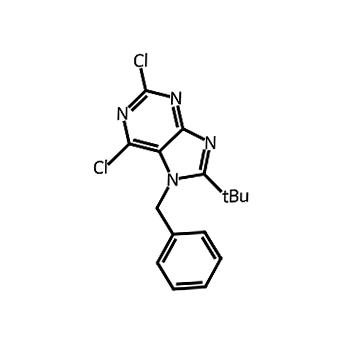 CC(C)(C)c1nc2nc(Cl)nc(Cl)c2n1Cc1ccccc1